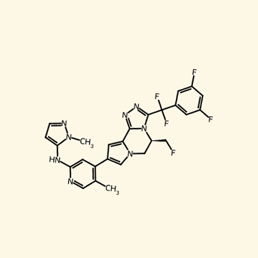 Cc1cnc(Nc2ccnn2C)cc1-c1cc2n(c1)C[C@H](CF)n1c-2nnc1C(F)(F)c1cc(F)cc(F)c1